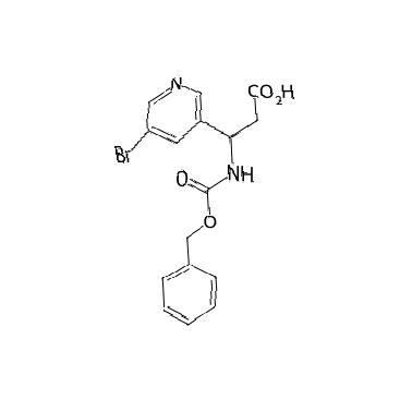 O=C(O)CC(NC(=O)OCc1ccccc1)c1cncc(Br)c1